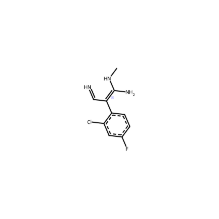 CN/C(N)=C(\C=N)c1ccc(F)cc1Cl